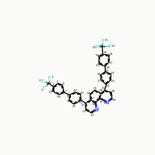 FC(F)(F)c1ccc(-c2ccc(-c3ccnc4c3ccc3c(-c5ccc(-c6ccc(C(F)(F)F)cc6)cc5)ccnc34)cc2)cc1